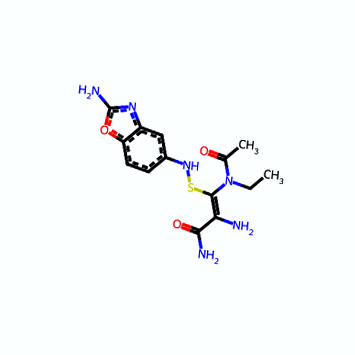 CCN(C(C)=O)/C(SNc1ccc2oc(N)nc2c1)=C(\N)C(N)=O